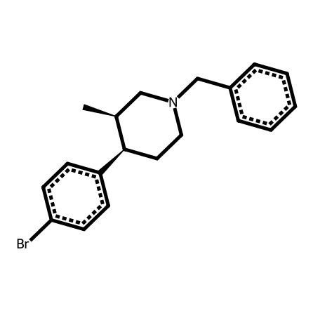 C[C@H]1CN(Cc2ccccc2)CC[C@H]1c1ccc(Br)cc1